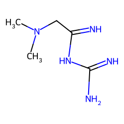 CN(C)CC(=N)NC(=N)N